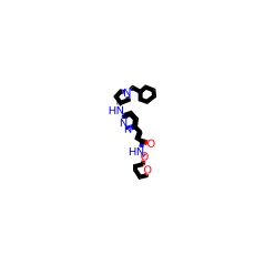 O=C(C=Cc1ccc(N[C@@H]2CCN(CC3CCCCC3)C2)nn1)NOC1CCCCO1